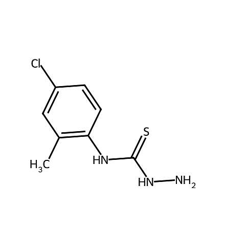 Cc1cc(Cl)ccc1NC(=S)NN